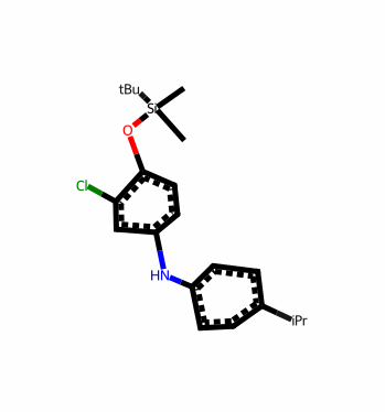 CC(C)c1ccc(Nc2ccc(O[Si](C)(C)C(C)(C)C)c(Cl)c2)cc1